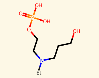 CCN(CCCO)CCOP(=O)(O)O